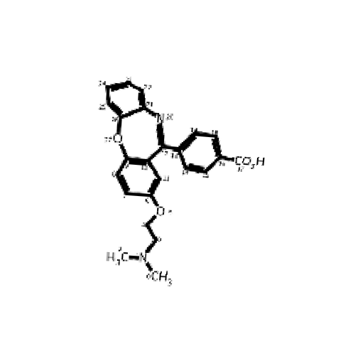 CN(C)CCOc1ccc2c(c1)C(c1ccc(C(=O)O)cc1)=Nc1ccccc1O2